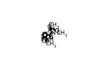 COc1cc(OC)nc(C(=O)c2cccc(F)c2NC(C)=O)n1